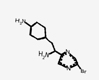 NC1CCC(CC(N)c2cnc(Br)cn2)CC1